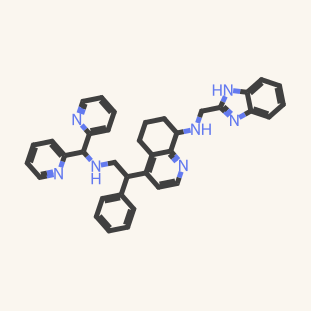 c1ccc(C(CNC(c2ccccn2)c2ccccn2)c2ccnc3c2CCCC3NCc2nc3ccccc3[nH]2)cc1